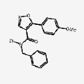 CCN(Cc1ccccc1)C(=O)c1cnoc1-c1ccc(OC)cc1